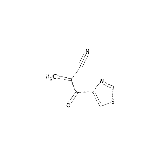 C=C(C#N)C(=O)c1cscn1